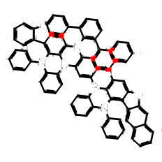 c1ccc(-c2cccc(-c3ccccc3)c2N2c3cc4c(cc3B3c5ccccc5N(c5ccccc5)c5c3c2cc2oc3ccccc3c52)B2c3ccccc3N(c3ccccc3)c3c2c(cc2oc5cc6ccccc6cc5c32)N4c2ccccc2)cc1